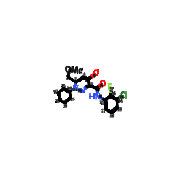 COCc1cc(=O)c(C(=O)Nc2cccc(Cl)c2F)nn1-c1ccccc1